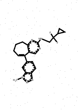 Cn1nnc2ccc(C3=CCCCc4nc(NCC(F)(F)C5CC5)ncc43)cc21